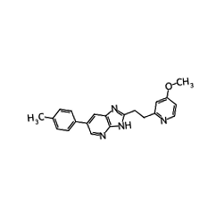 COc1ccnc(CCc2nc3cc(-c4ccc(C)cc4)cnc3[nH]2)c1